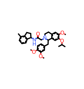 COc1ccc(CC2c3cc(OC(C)C)c(OC)cc3CCN2CC(=O)NC2CCc3c(C)cccc32)cc1OC